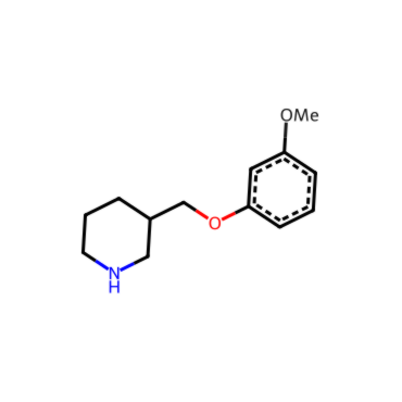 COc1cccc(OCC2CCCNC2)c1